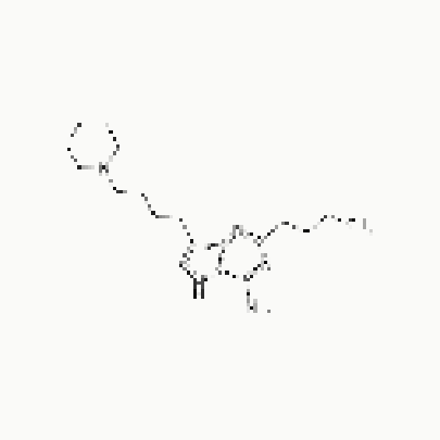 CCCCc1nc(N)c2[nH]cc(CCCCN3CCCCC3)c2n1